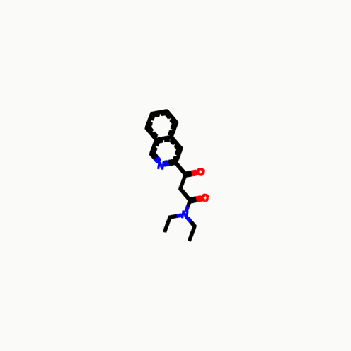 CCN(CC)C(=O)CC(=O)c1cc2ccccc2cn1